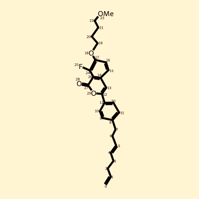 C=CCC/C=C/CCc1ccc(-c2cc3ccc(OCCCCOC)c(F)c3c(=O)o2)cc1